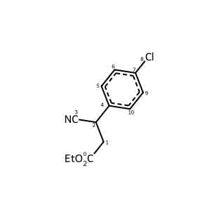 CCOC(=O)CC(C#N)c1ccc(Cl)cc1